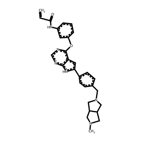 C=CC(=O)Nc1cccc(Oc2ncnc3[nH]c(-c4ccc(CN5CC6CN(C)CC6C5)cc4)cc23)c1